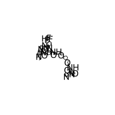 CC(C)N(C)[C@@H]1CC[C@H](N2CC[C@H](Nc3ncnc4ccc(C(F)(F)F)cc34)C2=O)[C@H](NC(=O)[C@H]2CC[C@@H](NC(=O)CCCOC[C@H]3CC[C@@H](COCCNC(=O)[C@H]4CC(=O)N(C)[C@@H]4c4cccnc4)CC3)CC2)C1